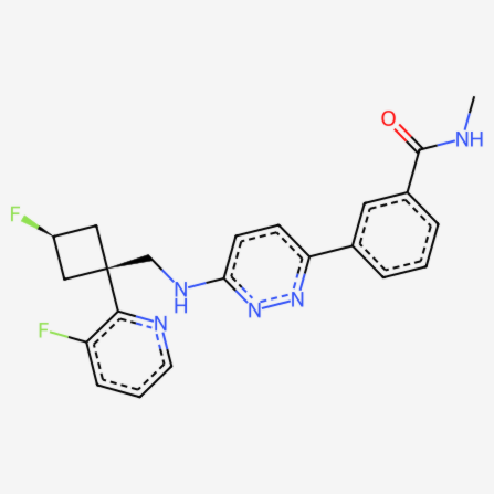 CNC(=O)c1cccc(-c2ccc(NC[C@]3(c4ncccc4F)C[C@H](F)C3)nn2)c1